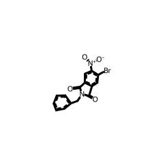 O=C1c2cc(Br)c([N+](=O)[O-])cc2C(=O)N1Cc1ccccc1